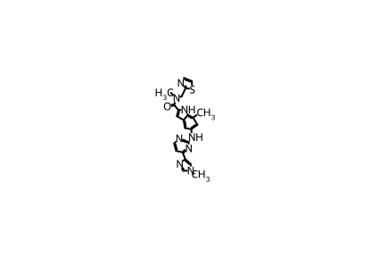 Cc1cc(Nc2nccc(-c3cn(C)cn3)n2)cc2cc(C(=O)N(C)Cc3nccs3)[nH]c12